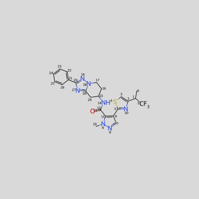 CC(c1csc(-c2cnn(C)c2C(=O)NC2CCn3nc(-c4ccccc4)nc3C2)n1)C(F)(F)F